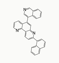 c1ccc2c(-c3ccc4c(cc(-c5cncc6ccccc56)c5cccnc54)n3)cccc2c1